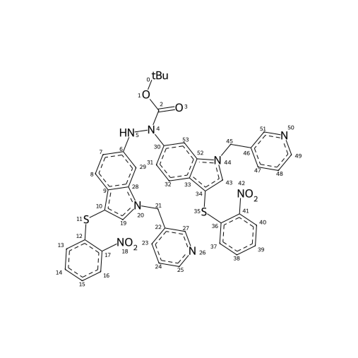 CC(C)(C)OC(=O)N(Nc1ccc2c(Sc3ccccc3[N+](=O)[O-])cn(Cc3cccnc3)c2c1)c1ccc2c(Sc3ccccc3[N+](=O)[O-])cn(Cc3cccnc3)c2c1